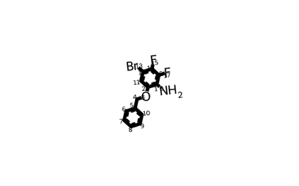 Nc1c(OCc2ccccc2)cc(Br)c(F)c1F